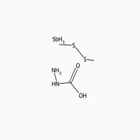 CSSC.NNC(=O)O.[SbH3]